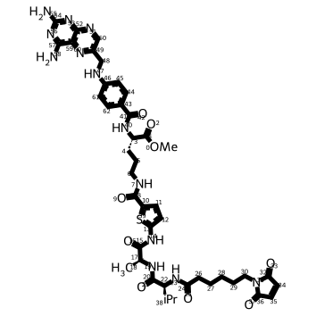 COC(=O)[C@H](CCCNC(=O)c1ccc(NC(=O)[C@H](C)NC(=O)[C@@H](NC(=O)CCCCCN2C(=O)C=CC2=O)C(C)C)s1)NC(=O)c1ccc(NCc2cnc3nc(N)nc(N)c3n2)cc1